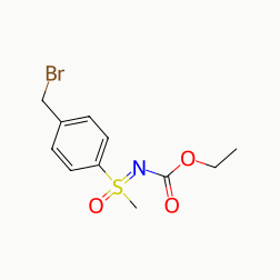 CCOC(=O)N=S(C)(=O)c1ccc(CBr)cc1